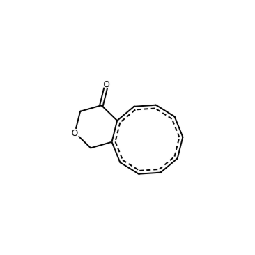 O=C1COCc2ccccccccc21